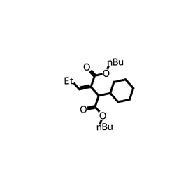 CCC=C(C(=O)OCCCC)C(C(=O)OCCCC)C1CCCCC1